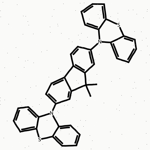 CC1(C)c2cc(N3c4ccccc4Sc4ccccc43)ccc2-c2ccc(N3c4ccccc4Sc4ccccc43)cc21